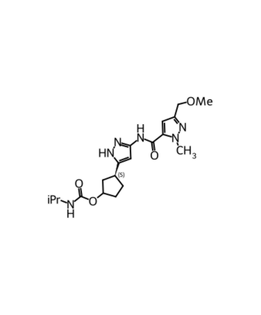 COCc1cc(C(=O)Nc2cc([C@H]3CCC(OC(=O)NC(C)C)C3)[nH]n2)n(C)n1